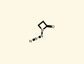 [N-]=[N+]=NN1CCC1=O